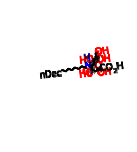 CCCCCCCCCCCCCCCCCC(=O)N[C@H]1[C@H]([C@H](O)[C@H](O)CO)O[C@](O)(C(=O)O)C[C@@H]1O